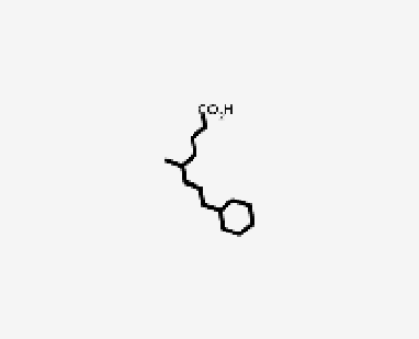 CC(CCCC(=O)O)CCCC1CCCCC1